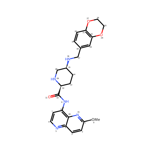 COc1ccc2nccc(NC(=O)[C@@H]3CC[C@H](NCc4ccc5c(c4)OCCO5)CN3)c2n1